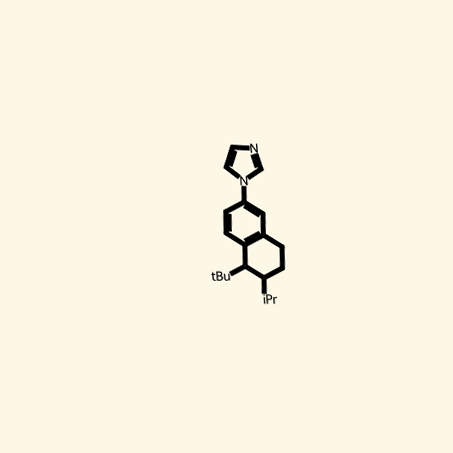 CC(C)C1CCc2cc(-n3ccnc3)ccc2C1C(C)(C)C